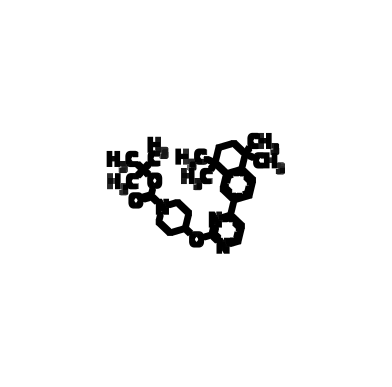 CC(C)(C)OC(=O)N1CCC(Oc2nccc(-c3ccc4c(c3)C(C)(C)CCC4(C)C)n2)CC1